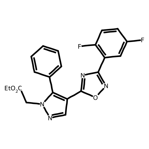 CCOC(=O)Cn1ncc(-c2nc(-c3cc(F)ccc3F)no2)c1-c1ccccc1